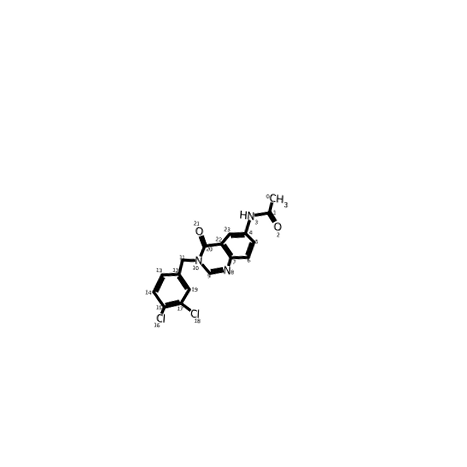 CC(=O)Nc1ccc2ncn(Cc3ccc(Cl)c(Cl)c3)c(=O)c2c1